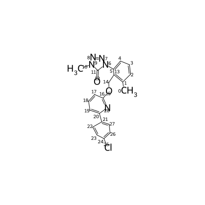 Cc1cccc(-n2nnn(C)c2=O)c1COc1cccc(-c2ccc(Cl)cc2)n1